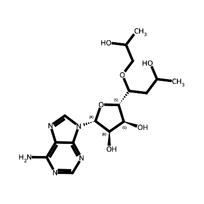 CC(O)COC(CC(C)O)[C@H]1O[C@@H](n2cnc3c(N)ncnc32)[C@H](O)[C@@H]1O